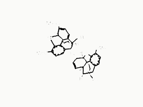 COC1=CC=C2[C@H]3Cc4ccc(OC)c5c4[C@@]2(CCN3C)[C@H]1O5.COc1ccc2c3c1O[C@H]1[C@@H](O)C=C[C@H]4[C@@H](C2)N(C)CC[C@@]341